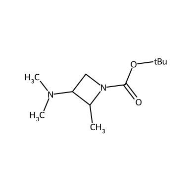 CC1C(N(C)C)CN1C(=O)OC(C)(C)C